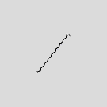 CCC/C=C/C=C/CCCCCCCCC=O